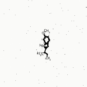 CCC(C)c1cc2ccc(OC)cc2[nH]1